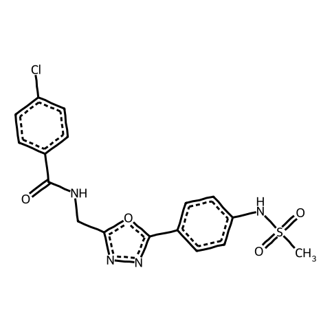 CS(=O)(=O)Nc1ccc(-c2nnc(CNC(=O)c3ccc(Cl)cc3)o2)cc1